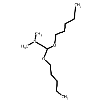 CCCCCOC(OCCCCC)N(C)C